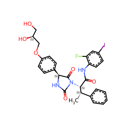 C[C@@H](c1ccccc1)[C@@H](C(=O)Nc1ccc(I)cc1F)N1C(=O)N[C@@H](c2ccc(OC[C@@H](O)CO)cc2)C1=O